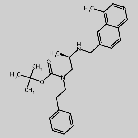 Cc1cncc2ccc(CN[C@H](C)CN(CCc3ccccc3)C(=O)OC(C)(C)C)cc12